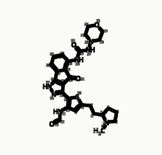 CN1CCCC1CCc1cc(NC=O)c(-c2n[nH]c3c2C(=O)c2c(NC(=O)NN4CCOCC4)cccc2-3)s1